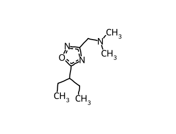 CCC(CC)c1nc(CN(C)C)no1